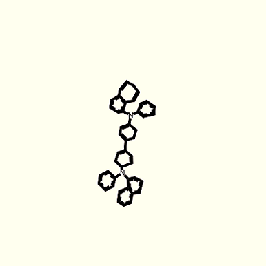 C1=Cc2cccc(N(C3=CC=C(C4=CCC(N(c5ccccc5)c5cccc6ccccc56)C=C4)CC3)c3ccccc3)c2C=CC1